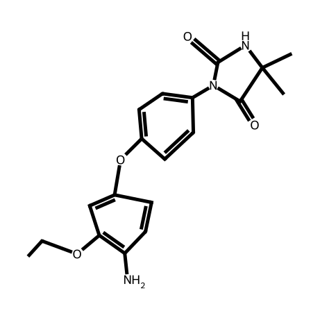 CCOc1cc(Oc2ccc(N3C(=O)NC(C)(C)C3=O)cc2)ccc1N